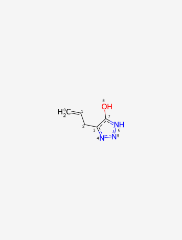 C=CCc1nn[nH]c1O